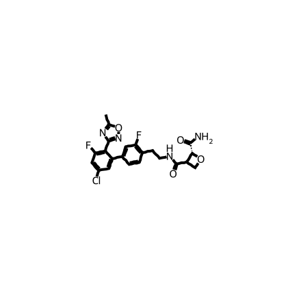 Cc1nc(-c2c(F)cc(Cl)cc2-c2ccc(CCNC(=O)[C]3CO[C@H]3C(N)=O)c(F)c2)no1